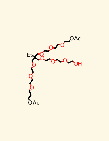 CCC(COCCOCCOCCO)(COCCOCCOCCCOC(C)=O)COCCOCCOCCOC(C)=O